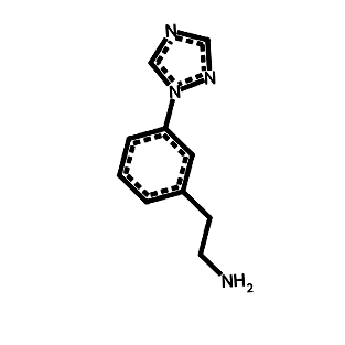 NCCc1cccc(-n2cncn2)c1